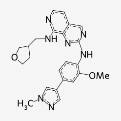 COc1cc(-c2cnn(C)c2)ccc1Nc1ncc2ccnc(NCC3CCOC3)c2n1